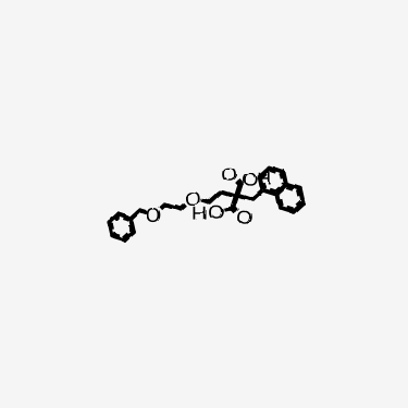 O=C(O)C(CCOCCOCc1ccccc1)(Cc1cccc2ccccc12)C(=O)O